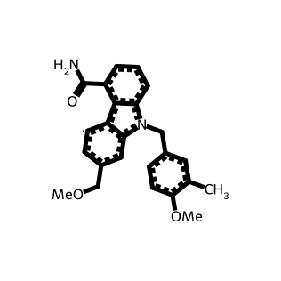 COCc1c[c]c2c3c(C(N)=O)cccc3n(Cc3ccc(OC)c(C)c3)c2c1